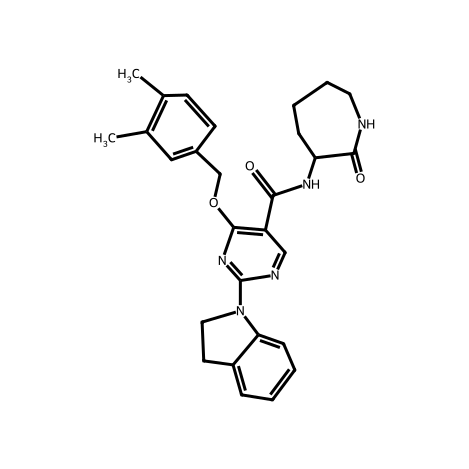 Cc1ccc(COc2nc(N3CCc4ccccc43)ncc2C(=O)NC2CCCCNC2=O)cc1C